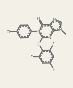 Cn1cnc2c(=O)n(-c3ccc(Cl)cc3)c(Oc3c(F)cc(F)cc3F)nc21